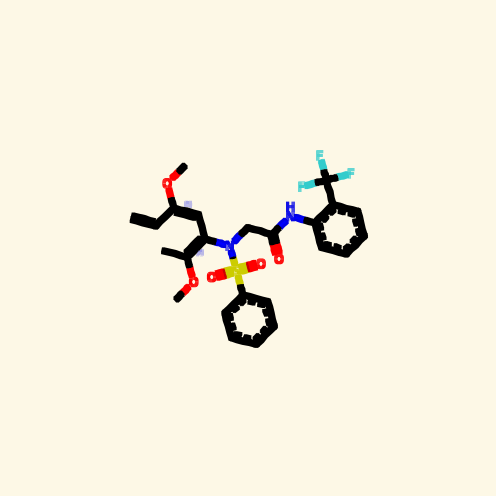 C=C/C(=C\C(=C(/C)OC)N(CC(=O)Nc1ccccc1C(F)(F)F)S(=O)(=O)c1ccccc1)OC